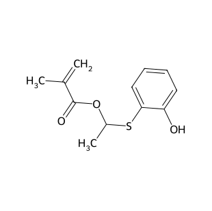 C=C(C)C(=O)OC(C)Sc1ccccc1O